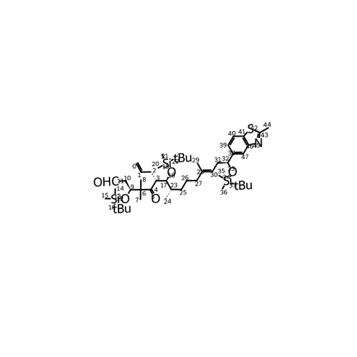 C=CC[C@@H](C(=O)C(C)(C)[C@H](CC=O)O[Si](C)(C)C(C)(C)C)[C@@H](O[Si](C)(C)C(C)(C)C)[C@@H](C)CCC/C(C)=C/C[C@H](O[Si](C)(C)C(C)(C)C)c1ccc2sc(C)nc2c1